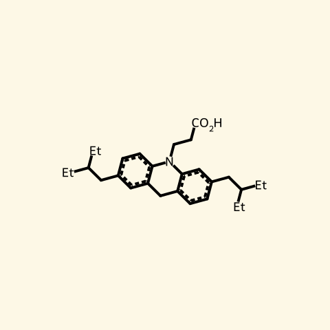 CCC(CC)Cc1ccc2c(c1)Cc1ccc(CC(CC)CC)cc1N2CCC(=O)O